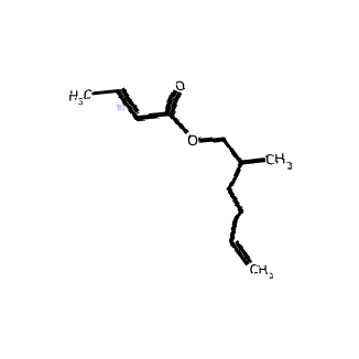 C=CCCC(C)COC(=O)/C=C/C